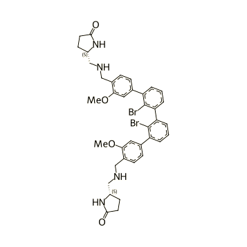 COc1cc(-c2cccc(-c3cccc(-c4ccc(CNC[C@@H]5CCC(=O)N5)c(OC)c4)c3Br)c2Br)ccc1CNC[C@@H]1CCC(=O)N1